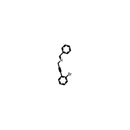 Brc1ccccc1C#CC/N=C/c1ccccc1